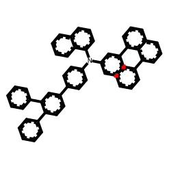 c1ccc(-c2ccc(-c3ccc(N(c4cccc(-c5cccc6cccc(-c7ccccc7)c56)c4)c4cccc5ccccc45)cc3)cc2-c2ccccc2)cc1